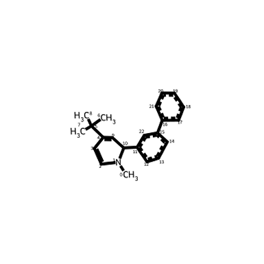 CN1C=CC(C(C)(C)C)=CC1c1cccc(-c2ccccc2)c1